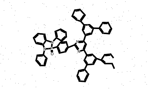 C/C=C\C(=C/CC)c1cc(-c2ccccc2)cc(-c2cc(-c3cc(-c4ccccc4)cc(-c4ccccc4)c3)nc(-c3ccc(P4(=O)N(c5ccccc5)c5ccccc5N4c4ccccc4)cc3)n2)c1